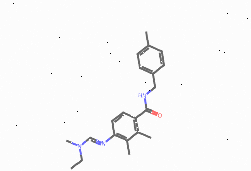 CCN(C)/C=N/c1ccc(C(=O)NCc2ccc(C)cc2)c(C)c1C